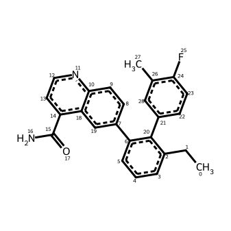 CCc1cccc(-c2ccc3nccc(C(N)=O)c3c2)c1-c1ccc(F)c(C)c1